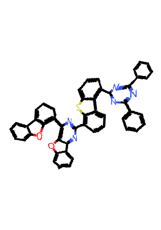 c1ccc(-c2nc(-c3ccccc3)nc(-c3cccc4sc5c(-c6nc(-c7cccc8c7oc7ccccc78)c7oc8ccccc8c7n6)cccc5c34)n2)cc1